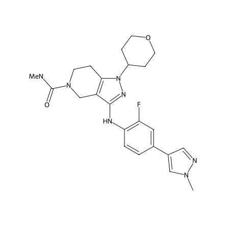 CNC(=O)N1CCc2c(c(Nc3ccc(-c4cnn(C)c4)cc3F)nn2C2CCOCC2)C1